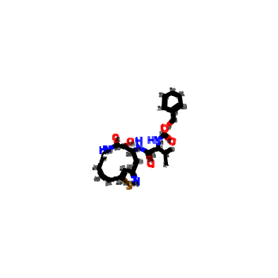 CC(C)C(NC(=O)OCc1ccccc1)C(=O)NC1Cc2cc(sn2)CCCCNC(=O)C1=O